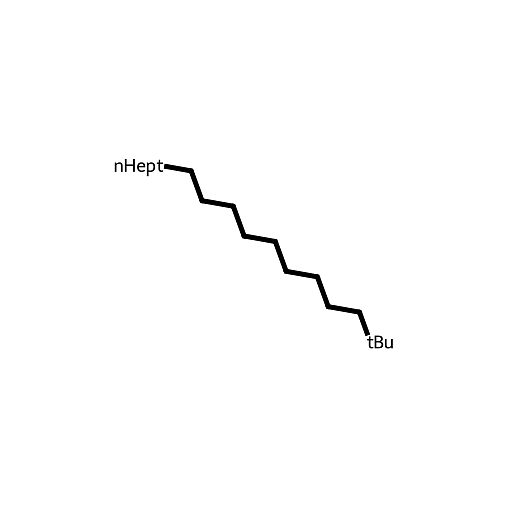 CCCC[CH]CCCCCCCCCCCC(C)(C)C